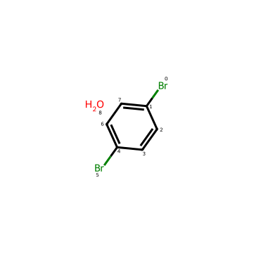 Brc1ccc(Br)cc1.O